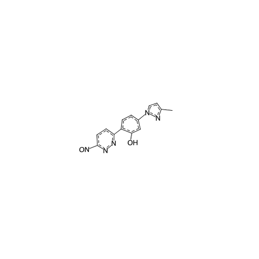 Cc1ccn(-c2ccc(-c3ccc(N=O)nn3)c(O)c2)n1